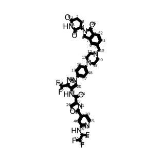 O=C1CCC(N2Cc3cc(CN4CCN(c5ccc(-n6cc(NC(=O)c7coc(-c8ccnc(NC(F)C(F)F)c8)n7)c(C(F)F)n6)cc5)CC4)ccc3C2=O)C(=O)N1